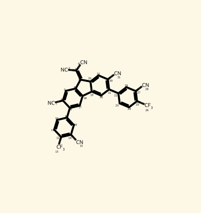 N#CC(C#N)=C1c2cc(C#N)c(-c3ccc(C(F)(F)F)c(C#N)c3)cc2-c2cc(-c3ccc(C(F)(F)F)c(C#N)c3)c(C#N)cc21